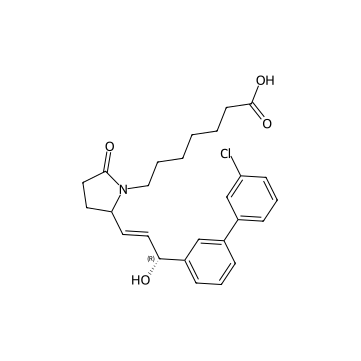 O=C(O)CCCCCCN1C(=O)CCC1C=C[C@@H](O)c1cccc(-c2cccc(Cl)c2)c1